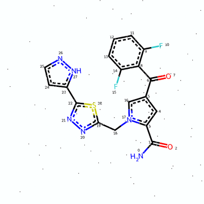 NC(=O)c1cc(C(=O)c2c(F)cccc2F)cn1Cc1nnc(-c2ccn[nH]2)s1